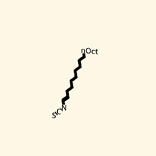 CCCCCCCCCCCCCCCC/C=C/N=C=S